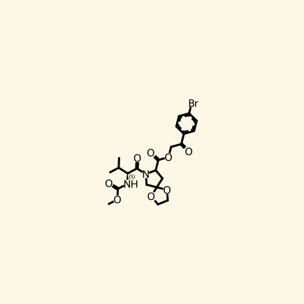 COC(=O)N[C@H](C(=O)N1CC2(CC1C(=O)OCC(=O)c1ccc(Br)cc1)OCCO2)C(C)C